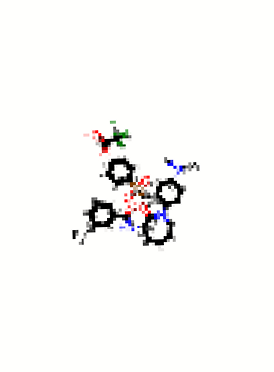 CC(C)N(C)[C@@H]1CC[C@H](N2CCCC[C@H](NC(=O)c3cccc(C(F)(F)F)c3)C2=O)[C@H](CS(=O)(=O)c2ccccc2)C1.O=C(O)C(F)(F)F